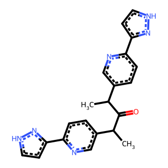 CC(C(=O)C(C)c1ccc(-c2cc[nH]n2)nc1)c1ccc(-c2cc[nH]n2)nc1